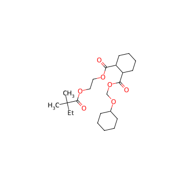 CCC(C)(C)C(=O)OCCOC(=O)C1CCCCC1C(=O)OCOC1CCCCC1